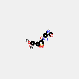 CCOc1ccc(-c2ccc3c(c2)C=C(C(=O)Nc2ccc(CN(C)C4CCOCC4)cc2)CCS3(=O)=O)cc1OCC